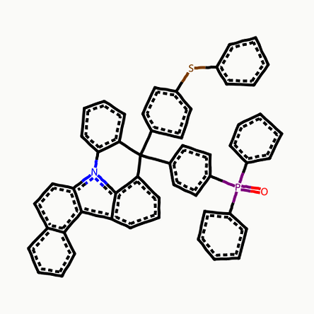 O=P(c1ccccc1)(c1ccccc1)c1ccc(C2(c3ccc(Sc4ccccc4)cc3)c3ccccc3-n3c4ccc5ccccc5c4c4cccc2c43)cc1